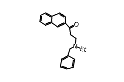 CCN(CCC(=O)c1ccc2ccccc2c1)Cc1ccccc1